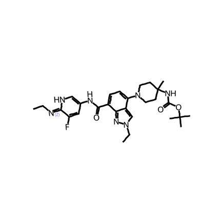 CC/N=c1\[nH]cc(NC(=O)c2ccc(N3CCC(C)(NC(=O)OC(C)(C)C)CC3)c3cn(CC)nc23)cc1F